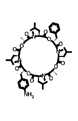 CC(C)C[C@H]1C(=O)O[C@H](Cc2ccc(N)cc2)C(=O)N(C)[C@@H](CC(C)C)C(=O)O[C@H](C)C(=O)N(C)[C@@H](CC(C)C)C(=O)O[C@H](Cc2ccccc2)C(=O)N(C)[C@@H](CC(C)C)C(=O)O[C@H](C)C(=O)N1C